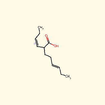 CCC=CCCC(/C=C\CC)C(=O)O